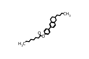 CCCCCCCC(=O)Oc1ccc(-c2ccc3c(c2)CCC(CCCC)C3)cc1